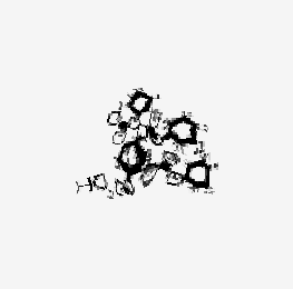 O=C(O)OC1CC(OC(=O)OC2CCCCC2)C(OC(=O)OC2CCCCC2)CC1OC(=O)OC1CCCCC1